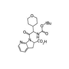 CC(C)(C)OC(=O)NC(C(=O)N1c2ncccc2CC1C(=O)O)C1CCOCC1